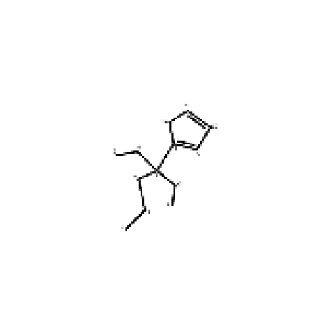 CCCC(CC)(CC)C1=CC=CC1